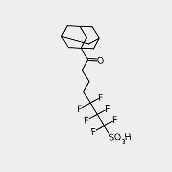 O=C(CCCC(F)(F)C(F)(F)C(F)(F)S(=O)(=O)O)C12CC3CC(CC(C3)C1)C2